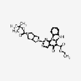 CCOC(=O)c1c(=O)c2cnc(N3CC4CN(C(=O)OC(C)(C)C)CC4C3)nc2n2c1[nH]c1ccccc12